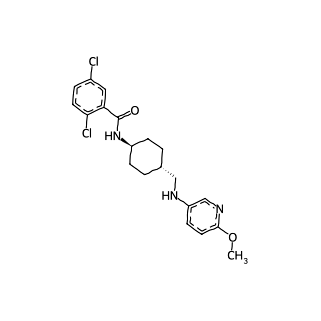 COc1ccc(NC[C@H]2CC[C@H](NC(=O)c3cc(Cl)ccc3Cl)CC2)cn1